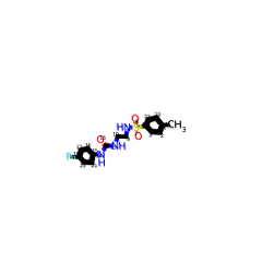 Cc1ccc(S(=O)(=O)NCCNC(=O)Nc2ccc(F)cc2)cc1